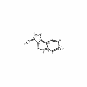 O=C1N=Nc2c1cnc1cnccc21